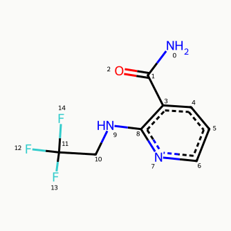 NC(=O)c1cccnc1NCC(F)(F)F